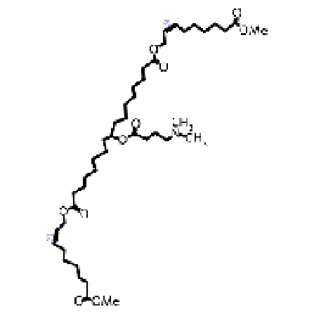 COC(=O)CCCCC/C=C\COC(=O)CCCCCCCC(CCCCCCCC(=O)OC/C=C\CCCCCC(=O)OC)OC(=O)CCCN(C)C